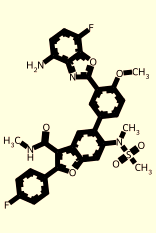 CNC(=O)c1c(-c2ccc(F)cc2)oc2cc(N(C)S(C)(=O)=O)c(-c3ccc(OC)c(-c4nc5c(N)ccc(F)c5o4)c3)cc12